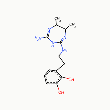 CC1N=C(N)NC(NCCc2cccc(O)c2O)=NC1C